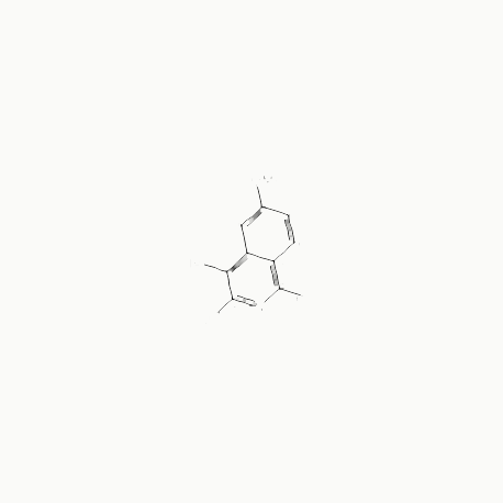 COc1ccc2c(Cl)nc(C)c(Br)c2c1